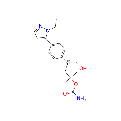 CCn1nccc1-c1ccc([C@H](CO)CC(C)(C)OC(N)=O)cc1